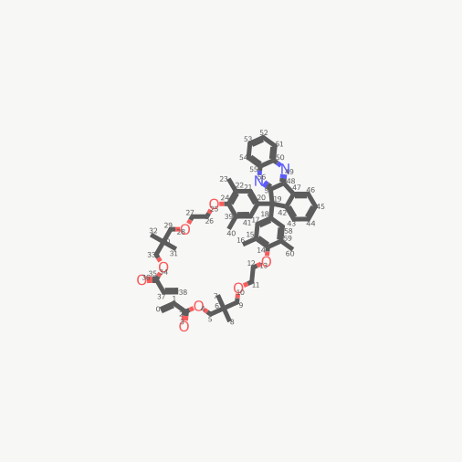 C=CC(=O)OCC(C)(C)COCCOc1c(C)cc(C2(c3cc(C)c(OCCOCC(C)(C)COC(=O)C=C)c(C)c3)c3ccccc3-c3nc4ccccc4nc32)cc1C